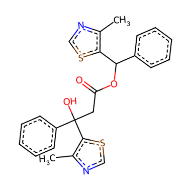 Cc1ncsc1C(OC(=O)CC(O)(c1ccccc1)c1scnc1C)c1ccccc1